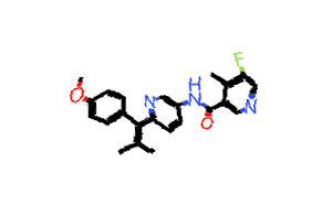 COc1ccc(C(=C(C)C)c2ccc(NC(=O)c3cncc(F)c3C)cn2)cc1